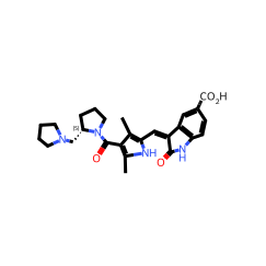 Cc1[nH]c(C=C2C(=O)Nc3ccc(C(=O)O)cc32)c(C)c1C(=O)N1CCC[C@H]1CN1CCCC1